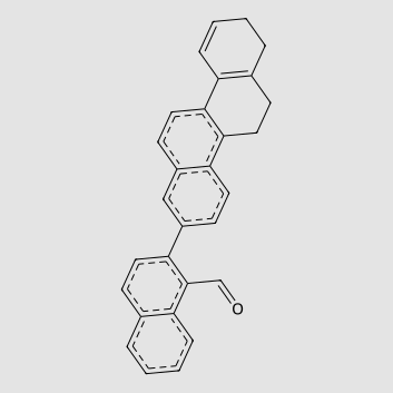 O=Cc1c(-c2ccc3c4c(ccc3c2)C2=C(CCC=C2)CC4)ccc2ccccc12